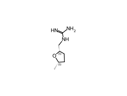 C[C@H]1CC[C@@H](CNC(=N)N)O1